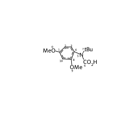 COc1ccc(N(C(=O)O)C(C)(C)C)c(OC)c1